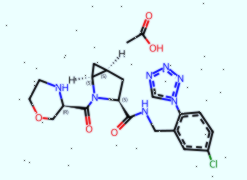 CC(=O)O.O=C(NCc1cc(Cl)ccc1-n1cnnn1)[C@@H]1C[C@@H]2C[C@@H]2N1C(=O)[C@H]1COCCN1